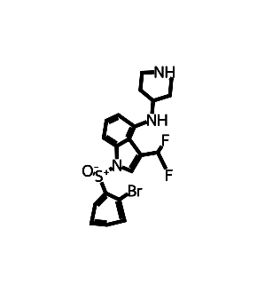 [O-][S+](c1ccccc1Br)n1cc(C(F)F)c2c(NC3CCNCC3)cccc21